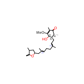 C=C1OC(C/C(C)=C/CC/C(C)=C/C[C@@H]2[C@@H](C)C(=O)C(C)=C(OC)[C@@H]2O)CC1C